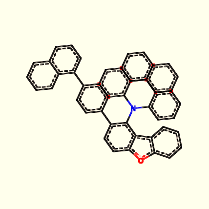 c1ccc(-c2ccccc2N(c2ccccc2-c2ccccc2)c2c(-c3ccc(-c4cccc5ccccc45)cc3)ccc3oc4ccccc4c23)cc1